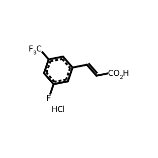 Cl.O=C(O)C=Cc1cc(F)cc(C(F)(F)F)c1